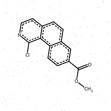 COC(=O)c1ccc2c(ccc3ccnc(Cl)c32)c1